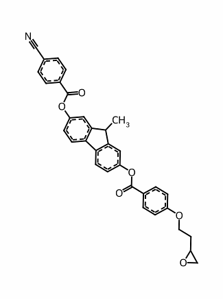 CC1c2cc(OC(=O)c3ccc(C#N)cc3)ccc2-c2ccc(OC(=O)c3ccc(OCCC4CO4)cc3)cc21